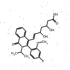 COc1cc(F)ccc1-c1c(C=CC(O)CC(O)CC(=O)O)c2ccccc2c(=O)n1C(C)C